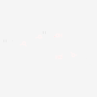 O=C(O)COC[C@H]1CC[C@@H]2[C@@H](/C=C/[C@@H](O)COc3cc(Cl)cc(Cl)c3)[C@H](O)C[C@@H]2OC1